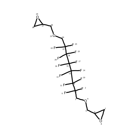 FC(F)(COCC1CO1)C(F)(F)C(F)(F)C(F)(F)C(F)(F)C(F)(F)COCC1CO1